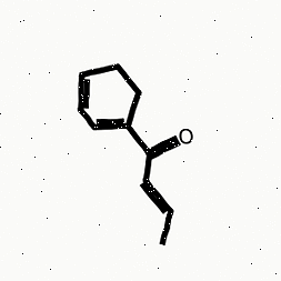 CC=CC(=O)C1=CC=CCC1